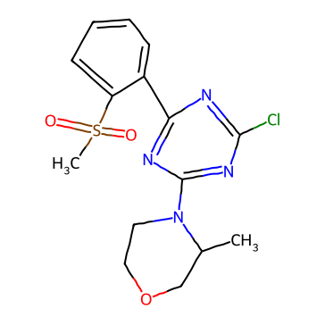 CC1COCCN1c1nc(Cl)nc(-c2ccccc2S(C)(=O)=O)n1